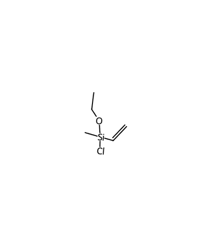 C=C[Si](C)(Cl)OCC